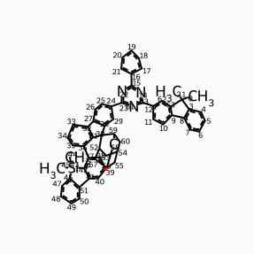 CC1(C)c2ccccc2-c2ccc(-c3nc(-c4ccccc4)nc(-c4ccc5c(c4)C4(c6c-5cccc6-c5cccc6c5[Si](C)(C)c5ccccc5-6)C5CC6CC(C5)CC4C6)n3)cc21